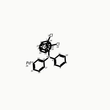 Cl[C]12[CH]3[CH]4[C]5(P(c6ccccc6)c6ccccc6)[C]1(Cl)[Fe]34251678[CH]2[CH]1[CH]6[CH]7[CH]28.[Pd]